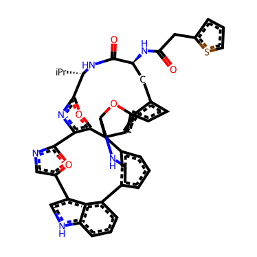 CC(C)[C@@H]1NC(=O)[C@@H](NC(=O)Cc2cccs2)Cc2ccc3c(c2)C24c5cccc(c5NC2O3)-c2cccc3[nH]cc(c23)-c2cnc(o2)-c2nc1oc24